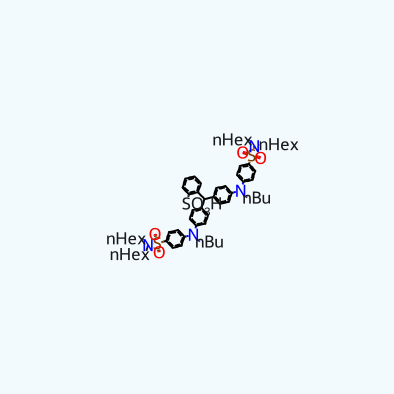 CCCCCCN(CCCCCC)S(=O)(=O)c1ccc(N(CCCC)c2ccc(C(c3ccc(N(CCCC)c4ccc(S(=O)(=O)N(CCCCCC)CCCCCC)cc4)cc3)c3ccccc3S(=O)(=O)O)cc2)cc1